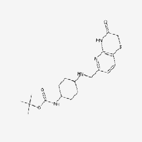 CC(C)(C)OC(=O)NC1CCC(NCc2ccc3c(n2)NC(=O)CS3)CC1